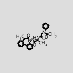 CC(=O)N(CC(=O)N[C@@H](C)C(=O)NN1C(=O)C(C)c2ccccc2-c2ccccc21)c1ccccc1